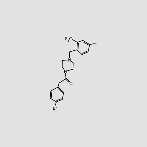 O=C(Cc1ccc(Br)cc1)N1CCN(Cc2ccc(F)cc2C(F)(F)F)CC1